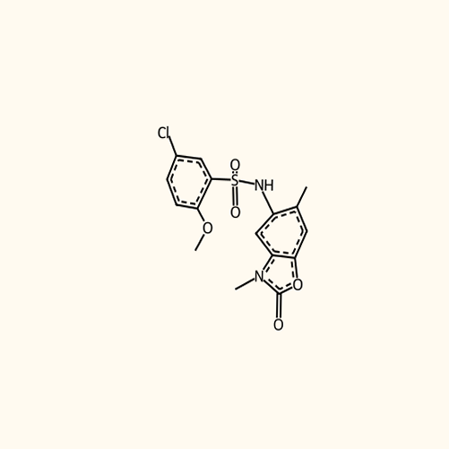 COc1ccc(Cl)cc1S(=O)(=O)Nc1cc2c(cc1C)oc(=O)n2C